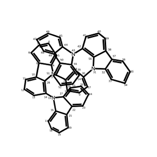 c1cc(-n2c3ccccc3c3cccc(-n4c5ccccc5c5ccccc54)c32)nc(-n2c3ccccc3c3cccc(-n4c5ccccc5c5ccccc54)c32)c1